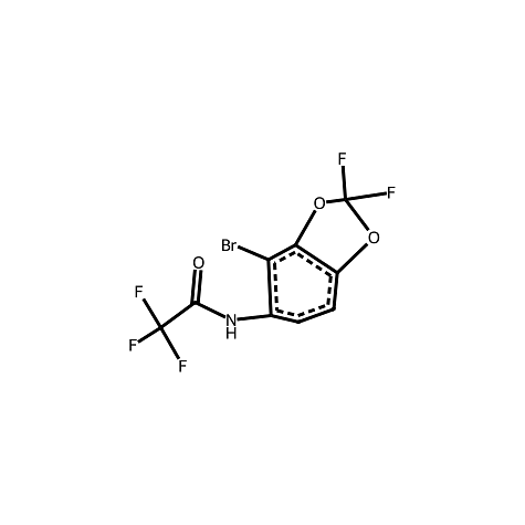 O=C(Nc1ccc2c(c1Br)OC(F)(F)O2)C(F)(F)F